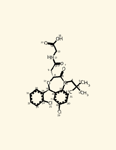 CC(C)(C)CN1C(=O)[C@@H](CC(=O)NCC(=O)O)O[C@H](c2ccccc2Cl)c2cc(Cl)ccc21